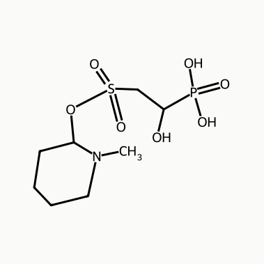 CN1CCCCC1OS(=O)(=O)CC(O)P(=O)(O)O